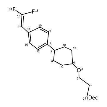 CCCCCCCCCCCCOC1CCC(c2ccc(C=C(F)F)cc2)CC1